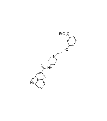 CCOC(=O)c1cccc(OCCCN2CCC(NC(=O)C3=Cc4cnc5cccc(n45)S3)CC2)c1